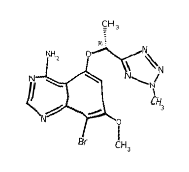 COc1cc(O[C@H](C)c2nnn(C)n2)c2c(N)ncnc2c1Br